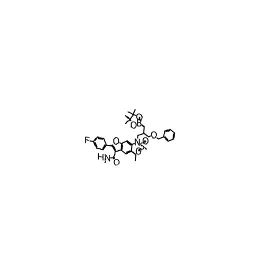 CCc1cc2c(C(=O)NC)c(-c3ccc(F)cc3)oc2cc1N(CC(COCc1ccccc1)CB1OC(C)(C)C(C)(C)O1)S(C)(=O)=O